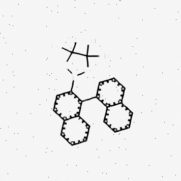 CC1(C)OB(c2ccc3ccccc3c2-c2cccc3ccccc23)OC1(C)C